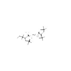 CCC(C)(C)C(CC(C)(C)C)C(=O)NCNC(=O)C(CC(C)(C)C)C(C)(C)C